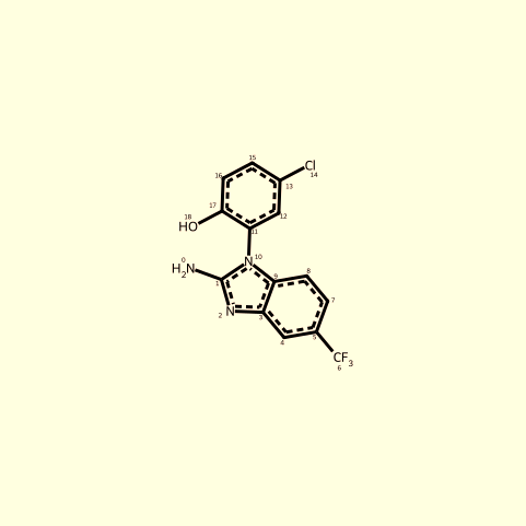 Nc1nc2cc(C(F)(F)F)ccc2n1-c1cc(Cl)ccc1O